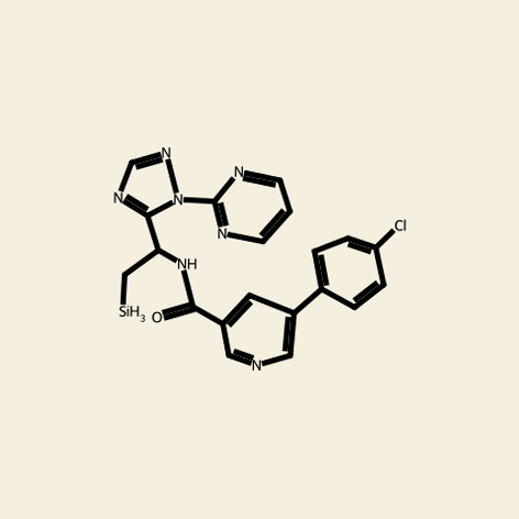 O=C(NC(C[SiH3])c1ncnn1-c1ncccn1)c1cncc(-c2ccc(Cl)cc2)c1